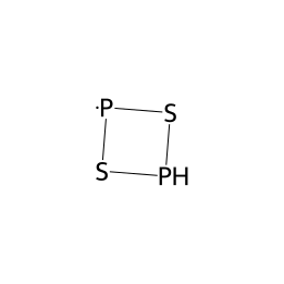 [P]1SPS1